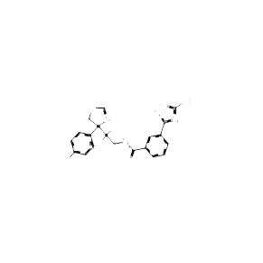 CC(C)(CNC(=O)c1cccc(-c2noc(C(F)(F)F)n2)c1)C1(c2ccc(F)cc2)COC=N1